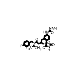 CNC(=O)Nc1ccc2c(c1)CC(CC(=O)N(Cc1ccc(F)cc1)[C@@H](C)C(F)(F)F)C[C@@]21OC(=O)NC1=O